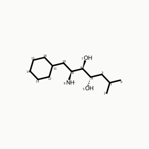 CC(C)C[C@H](O)[C@H](O)[C@@H]([NH])CC1CCCCC1